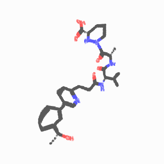 CC(C)[C@H](NC(=O)CCc1ccc(-c2cccc([C@@H](C)O)c2)cn1)C(=O)N[C@@H](C)C(=O)N1CCC[C@@H](C(=O)O)N1